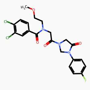 COCCN(CC(=O)N1CC(=O)N(c2ccc(F)cc2)C1)C(=O)c1ccc(Cl)c(Cl)c1